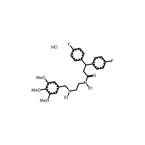 CCN(CCN(CC)C(=O)CC(c1ccc(F)cc1)c1ccc(F)cc1)Cc1cc(OC)c(OC)c(OC)c1.Cl